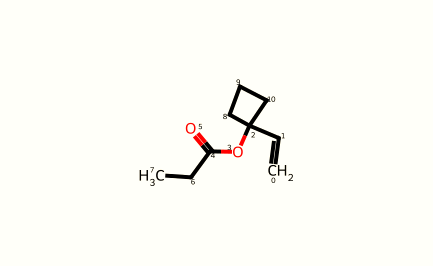 C=CC1(OC(=O)CC)CCC1